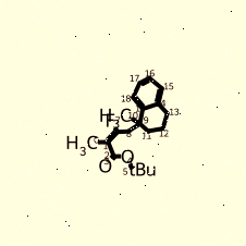 CC(C(=O)OC(C)(C)C)=C(F)CC1(C)CCCc2ccccc21